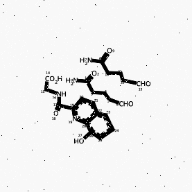 NC(=O)CCCC=O.NC(=O)CCCC=O.O=C(O)CNC(=O)c1ccc2cccc(O)c2n1